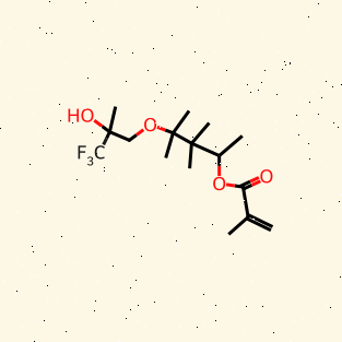 C=C(C)C(=O)OC(C)C(C)(C)C(C)(C)OCC(C)(O)C(F)(F)F